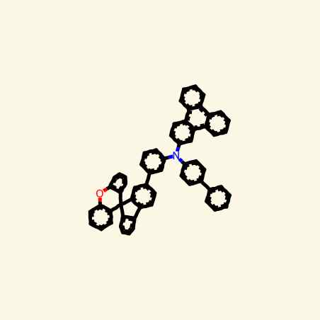 c1ccc(-c2ccc(N(c3cccc(-c4ccc5c(c4)C4(c6ccccc6Oc6ccccc64)c4ccccc4-5)c3)c3ccc4c5ccccc5c5ccccc5c4c3)cc2)cc1